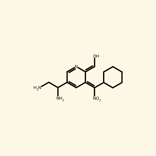 NCC(N)c1cnc(=C\O)/c(=C(\C2CCCCC2)[N+](=O)[O-])c1